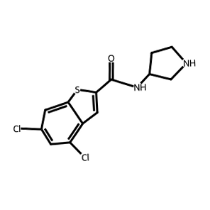 O=C(NC1CCNC1)c1cc2c(Cl)cc(Cl)cc2s1